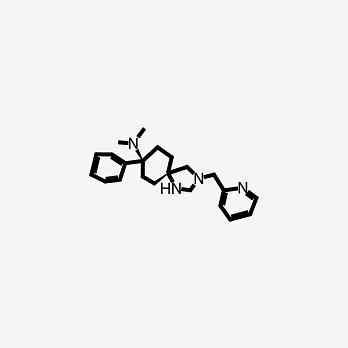 CN(C)[C@]1(c2ccccc2)CC[C@@]2(CC1)CN(Cc1ccccn1)CN2